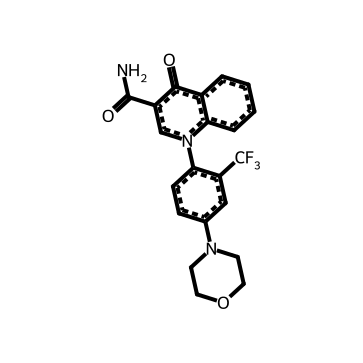 NC(=O)c1cn(-c2ccc(N3CCOCC3)cc2C(F)(F)F)c2ccccc2c1=O